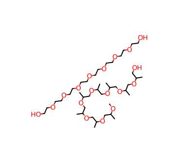 COC(C)COC(C)COC(C)COC(C)COC(C)COC(C)COC(C)COC(C)CO.OCCOCCOCCOCCOCCOCCOCCOCCO